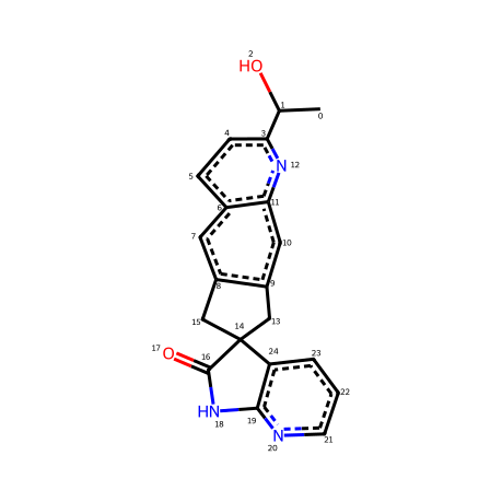 CC(O)c1ccc2cc3c(cc2n1)CC1(C3)C(=O)Nc2ncccc21